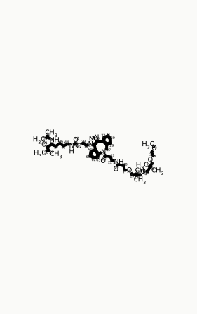 COCCOCC(C)(C)COCC(C)(C)COCCC(=O)NCCC(=O)N1Cc2ccccc2-c2nnn(CCOC(=O)NCCCCC(NC(C)C)C(=O)C(C)C)c2-c2ccccc21